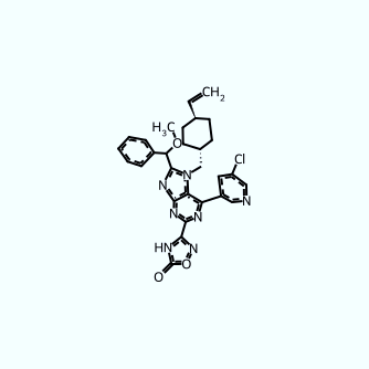 C=C[C@H]1CC[C@H](Cn2c(C(OC)c3ccccc3)nc3nc(-c4noc(=O)[nH]4)nc(-c4cncc(Cl)c4)c32)CC1